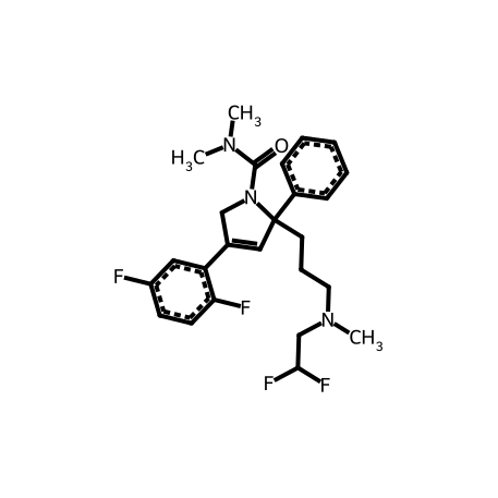 CN(CCCC1(c2ccccc2)C=C(c2cc(F)ccc2F)CN1C(=O)N(C)C)CC(F)F